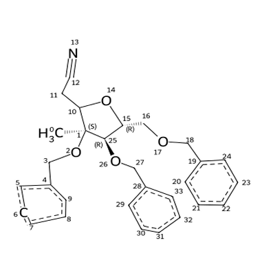 C[C@]1(OCc2ccccc2)C(CC#N)O[C@H](COCc2ccccc2)[C@H]1OCc1ccccc1